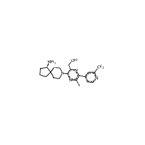 Cc1nc(N2CCC3(CCC[C@H]3N)CC2)c(CO)nc1-c1ccnc(C(F)(F)F)c1